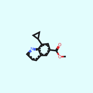 COC(=O)c1cc(C2CC2)c2ncccc2c1